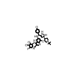 CC(C)(C)N1CCC(N2C=C([C@@H](Nc3cc(Cl)c4ncc(C#N)c(Nc5ccc(F)c(Cl)c5Cl)c4c3)c3ccc(Cl)cc3)NN2)CC1